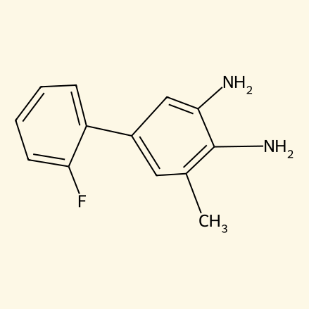 Cc1cc(-c2ccccc2F)cc(N)c1N